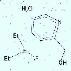 CCN(CC)CC.O.OCc1ccccn1